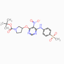 CC(C)(C)OC(=O)N1CCC(Oc2ncnc(Nc3ccc(S(C)(=O)=O)cc3)c2[N+](=O)[O-])C1